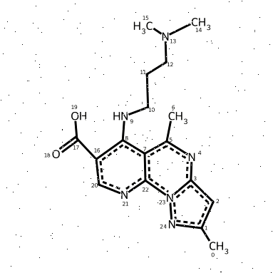 Cc1cc2nc(C)c3c(NCCCN(C)C)c(C(=O)O)cnc3n2n1